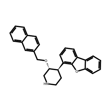 c1ccc2cc(CO[C@H]3CNCC[C@@H]3c3cccc4c3oc3ccccc34)ccc2c1